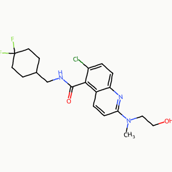 CN(CCO)c1ccc2c(C(=O)NCC3CCC(F)(F)CC3)c(Cl)ccc2n1